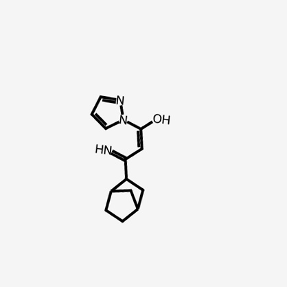 N=C(/C=C(/O)n1cccn1)C1CC2CCC1C2